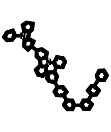 c1ccc(-c2ccc(-c3cccc(-c4cccc(-c5ccc(-c6cccc(-c7ccccc7-n7c8ccccc8c8cc(-c9ccc%10c(c9)c9ccccc9n%10-c9ccccc9)ccc87)c6)cc5)c4)c3)cc2)cc1